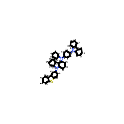 c1ccc(N(c2ccc(-n3c4ccccc4c4ccccc43)cc2)c2cccc3c2c2ccccc2n3-c2ccc3sc4ccccc4c3c2)cc1